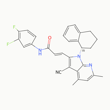 Cc1cc(C)c2c(C#N)c(C=CC(=O)Nc3ccc(F)c(F)c3)n([C@H]3CCCc4ccccc43)c2n1